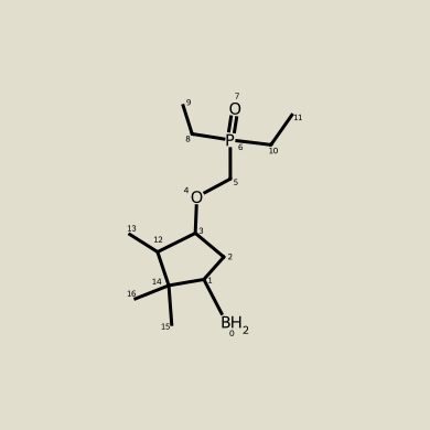 BC1CC(OCP(=O)(CC)CC)C(C)C1(C)C